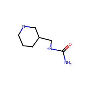 NC(=O)NCC1[CH]CC[N]C1